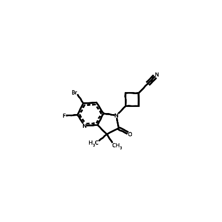 CC1(C)C(=O)N(C2CC(C#N)C2)c2cc(Br)c(F)nc21